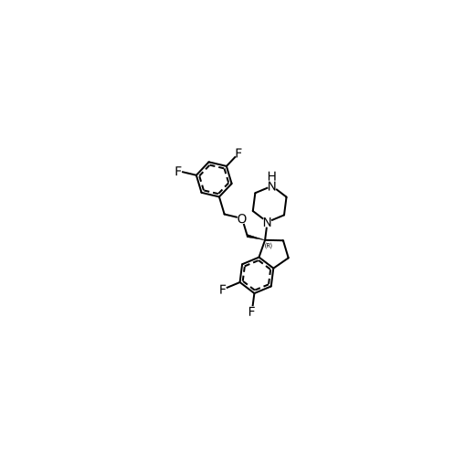 Fc1cc(F)cc(COC[C@@]2(N3CCNCC3)CCc3cc(F)c(F)cc32)c1